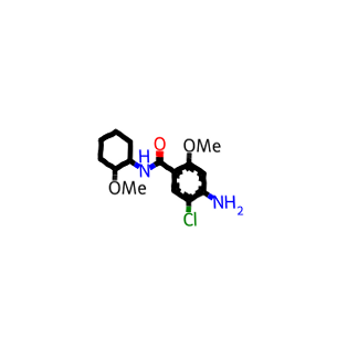 COc1cc(N)c(Cl)cc1C(=O)NC1CCCCC1OC